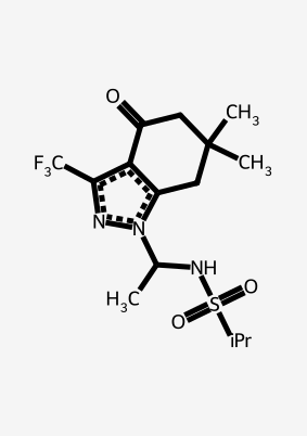 CC(NS(=O)(=O)C(C)C)n1nc(C(F)(F)F)c2c1CC(C)(C)CC2=O